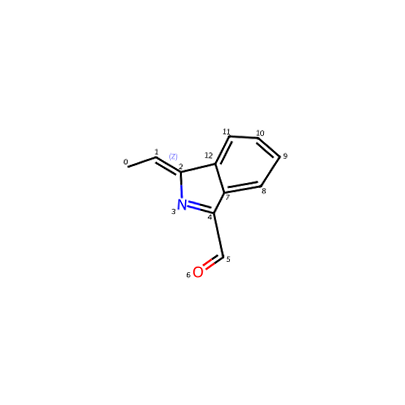 C/C=C1\N=C(C=O)c2ccccc21